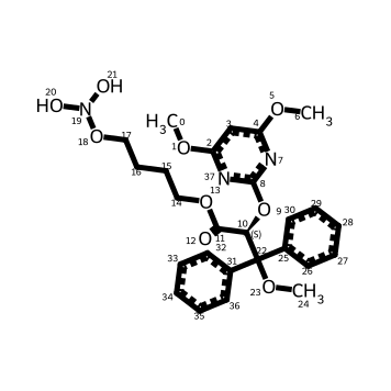 COc1cc(OC)nc(O[C@H](C(=O)OCCCCON(O)O)C(OC)(c2ccccc2)c2ccccc2)n1